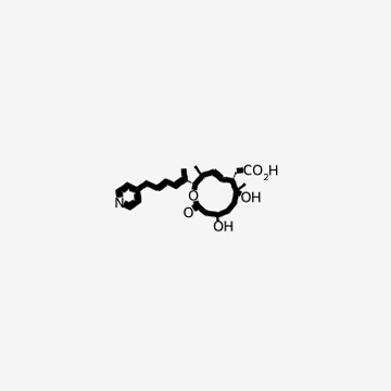 C/C(=C\C=C\Cc1ccncc1)[C@H]1OC(=O)C[C@H](O)CC[C@@](C)(O)[C@@H](CC(=O)O)/C=C/[C@@H]1C